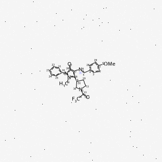 COc1ccc(/C=N/c2c([C@H]3CCN(C(=O)C(F)(F)F)C3)n(C)n(-c3ccccc3)c2=O)cc1